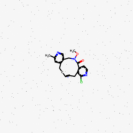 CON1Cc2cnc(C)cc2CC/C=C/Cc2c(ccnc2Cl)C1=O